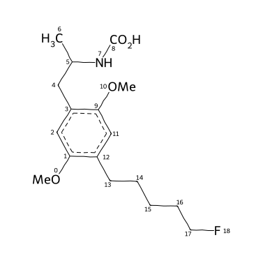 COc1cc(CC(C)NC(=O)O)c(OC)cc1CCCCCF